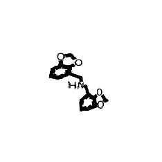 c1cc(CNCc2cccc3c2OCO3)c2c(c1)OCO2